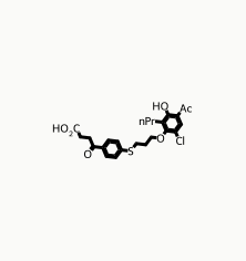 CCCc1c(O)c(C(C)=O)cc(Cl)c1OCCCSc1ccc(C(=O)CCC(=O)O)cc1